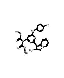 Cc1nn2ccccc2c1-c1nc(Nc2ccc(C(F)(F)F)cc2)cc(N(C(=O)OC(C)(C)C)C(=O)OC(C)(C)C)n1